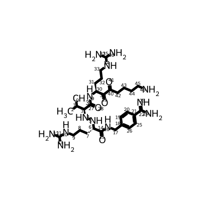 CC(C)[C@H](NN[C@@H](CCCNC(N)N)C(=O)NCc1ccc(C(=N)N)cc1)C(=O)N[C@@H](CCCNC(N)N)C(=O)C(=O)CCCCN